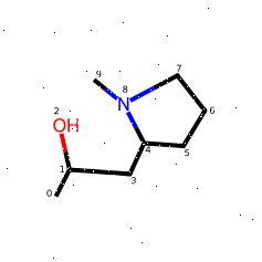 CC(O)CC1CCCN1C